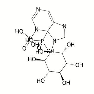 O=P(O)(O)N1C=NC=C2N=CN([C@]3(O)[C@H](O)[C@H](O)[C@@H](O)[C@H](O)[C@H]3O)C21P(=O)(O)O